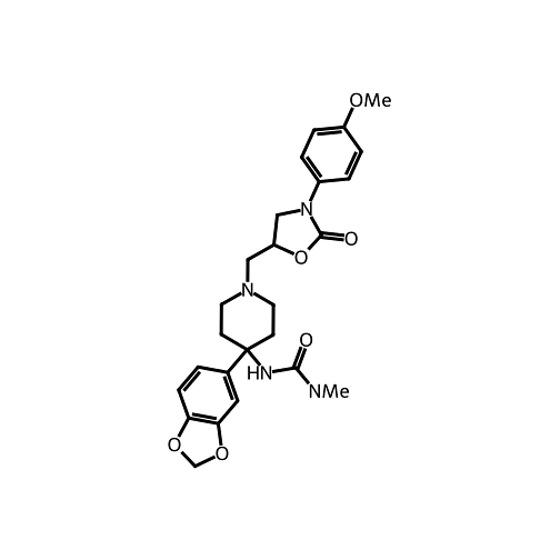 CNC(=O)NC1(c2ccc3c(c2)OCO3)CCN(CC2CN(c3ccc(OC)cc3)C(=O)O2)CC1